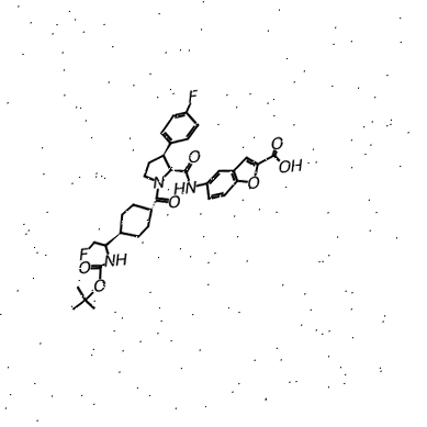 CC(C)(C)OC(=O)NC(CF)[C@H]1CC[C@H](C(=O)N2CC[C@@H](c3ccc(F)cc3)[C@H]2C(=O)Nc2ccc3oc(C(=O)O)cc3c2)CC1